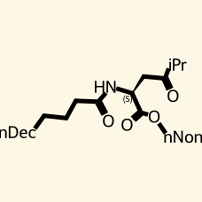 CCCCCCCCCCCCCC(=O)N[C@@H](CC(=O)C(C)C)C(=O)OCCCCCCCCC